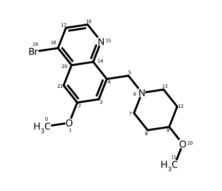 COc1cc(CN2CCC(OC)CC2)c2nccc(Br)c2c1